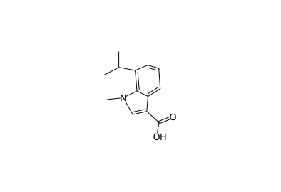 CC(C)c1cccc2c(C(=O)O)cn(C)c12